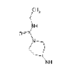 CCNC(=O)N1CCC([NH])CC1